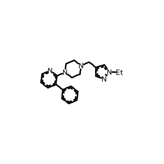 CCn1cc(CN2CCN(c3ncccc3-c3ccccc3)CC2)cn1